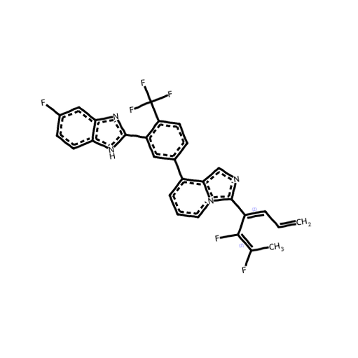 C=C/C=C(\C(F)=C(/C)F)c1ncc2c(-c3ccc(C(F)(F)F)c(-c4nc5cc(F)ccc5[nH]4)c3)cccn12